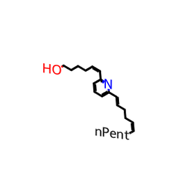 CCCCC/C=C\CC/C=C/c1cccc(/C=C\CCCCO)n1